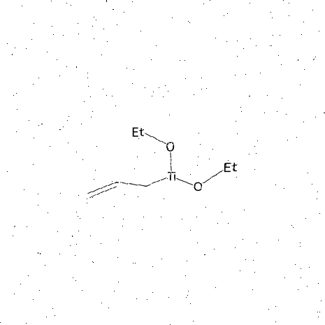 C=C[CH2][Ti]([O]CC)[O]CC